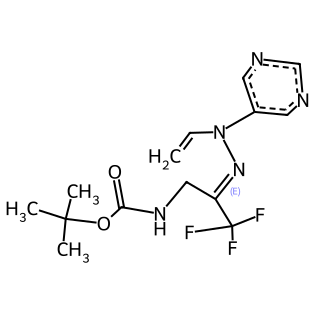 C=CN(/N=C(\CNC(=O)OC(C)(C)C)C(F)(F)F)c1cncnc1